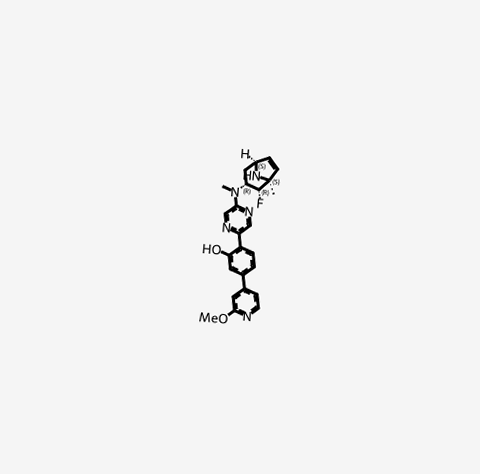 COc1cc(-c2ccc(-c3cnc(N(C)[C@@H]4C[C@H]5C=C[C@](C)(N5)[C@@H]4F)cn3)c(O)c2)ccn1